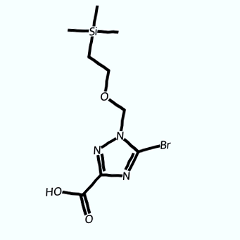 C[Si](C)(C)CCOCn1nc(C(=O)O)nc1Br